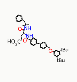 CC(C)(Cc1ccccc1)NC(=O)[C@H](CCC(=O)O)NC(=O)c1ccc(-c2ccc(COc3cc(C(C)(C)C)cc(C(C)(C)C)c3)cc2)cc1